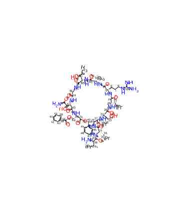 CC[C@H](C)[C@@H]1NC(=O)[C@@H](CCCNC(=N)N)NC(=O)[C@H](CC(C)C)NC(=O)[C@H]([C@H](O)C(C)C)NC(=O)[C@@H](NC(=O)[C@H](CC(C)C)NC(=O)[C@H](N)CC(C)C)[C@@H](c2ccccc2)OC(=O)[C@H](COC(=O)c2ccccc2)NC(=O)[C@H]([C@H](O)C(N)=O)NC(=O)CNC(=O)[C@H]([C@H](C)O)NC1=O